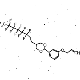 C=CCOc1cccc(C2OCC(CCC(F)(F)C(F)(F)C(F)(F)C(F)(F)C(F)(F)C(F)(F)F)CO2)c1